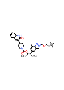 CO[C@@H](c1cc(C)c2nn(COCC[Si](C)(C)C)cc2c1)C(C=O)OC(=O)N1CCC(c2cc3ccccc3[nH]c2=O)CC1